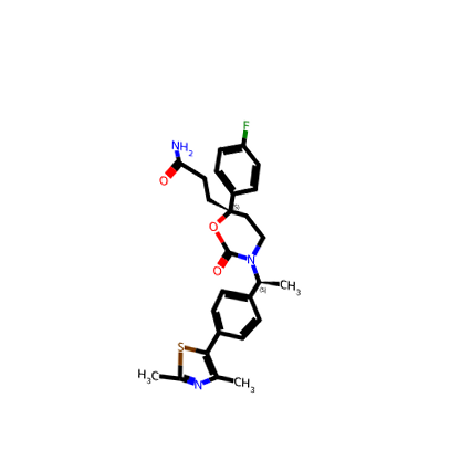 Cc1nc(C)c(-c2ccc([C@H](C)N3CC[C@@](CCC(N)=O)(c4ccc(F)cc4)OC3=O)cc2)s1